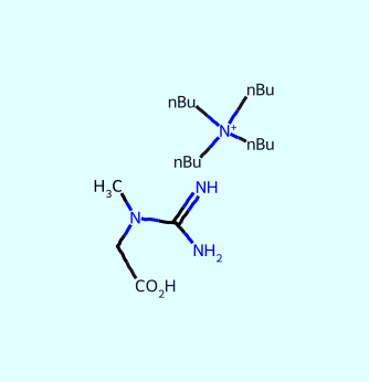 CCCC[N+](CCCC)(CCCC)CCCC.CN(CC(=O)O)C(=N)N